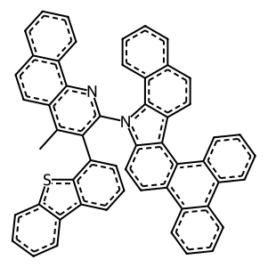 Cc1c(-c2cccc3c2sc2ccccc23)c(-n2c3ccc4c5ccccc5c5ccccc5c4c3c3ccc4ccccc4c32)nc2c1ccc1ccccc12